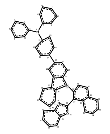 c1ccc(N(c2ccccc2)c2ccc(-c3ccc4c(c3)c3ccccc3n4-c3ccc4ccccc4c3-c3nc4ccccc4s3)cc2)cc1